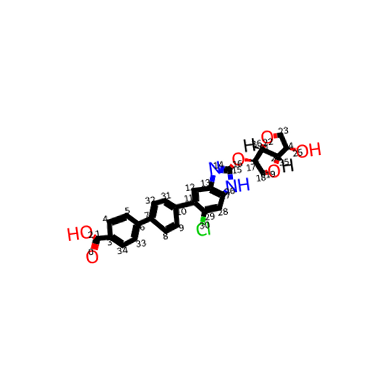 O=C(O)c1ccc(-c2ccc(-c3cc4nc(O[C@@H]5CO[C@H]6[C@@H]5OC[C@H]6O)[nH]c4cc3Cl)cc2)cc1